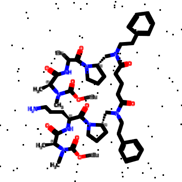 C[C@@H](C(=O)NC(C(=O)N1CCC[C@H]1CN(CCc1ccccc1)C(=O)CCCC(=O)N(CCc1ccccc1)C[C@@H]1CCCN1C(=O)[C@H](CCCN)NC(=O)[C@H](C)N(C)C(=O)OC(C)(C)C)C(C)(C)C)N(C)C(=O)OC(C)(C)C